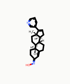 C[C@]12CCC(=NO)C=C1CC[C@@H]1[C@@H]2CC[C@]2(C)C(c3cccnc3)=CC[C@@H]12